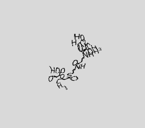 C[C@H](CC(=O)SCCNC(=O)CCNC(=O)[C@H](O)C(C)(C)CO)OC(CC=O)C(=O)O